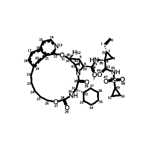 C=C[C@@H]1C[C@]1(NC(=O)[C@@H]1C[C@H]2Oc3nccc4ccc(cc34)CCCCCOC(=O)N[C@@H](C3CCCCC3)C(=O)N1C2I)C(=O)NS(=O)(=O)C1CC1